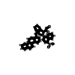 O=CC(=O)C1C2C3CC=C(O3)C2(Cc2cccc3c2ccc2c4ccccc4ccc32)CN1c1ccc([N+](=O)[O-])c2ccccc12